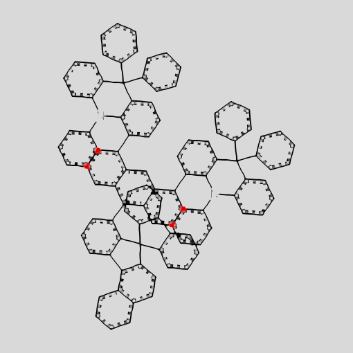 c1ccc(N2c3ccccc3C(c3ccccc3)(c3ccccc3)c3cccc(-c4cccc5c(-c6cccc7c6C6(c8ccccc8-c8ccccc86)c6ccc8ccccc8c6-7)c6cccc(-c7cccc8c7N(c7ccccc7)c7ccccc7C8(c7ccccc7)c7ccccc7)c6cc45)c32)cc1